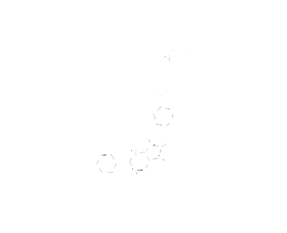 CC(C)c1ccccc1-c1ncc2c(n1)n(Cc1cccc(OCCCN(C)C)c1)c(=O)n2C